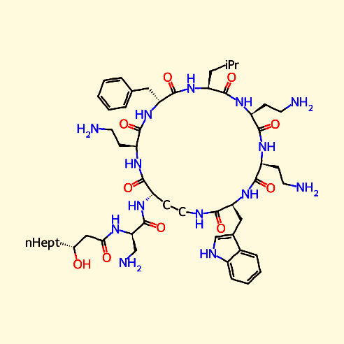 CCCCCCC[C@@H](O)CC(=O)N[C@H](CN)C(=O)N[C@H]1CCNC(=O)[C@H](Cc2c[nH]c3ccccc23)NC(=O)[C@H](CCN)NC(=O)[C@H](CCN)NC(=O)[C@H](CC(C)C)NC(=O)[C@@H](Cc2ccccc2)NC(=O)[C@H](CCN)NC1=O